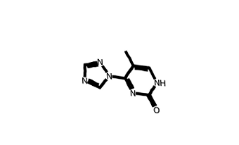 Cc1c[nH]c(=O)nc1-n1cncn1